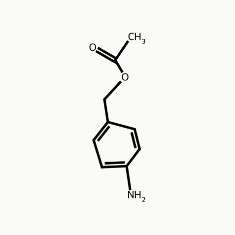 CC(=O)OCc1ccc(N)cc1